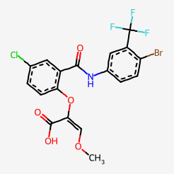 COC=C(Oc1ccc(Cl)cc1C(=O)Nc1ccc(Br)c(C(F)(F)F)c1)C(=O)O